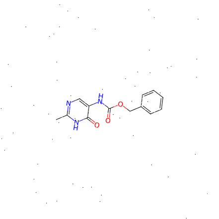 Cc1ncc(NC(=O)OCc2ccccc2)c(=O)[nH]1